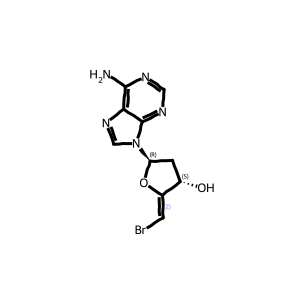 Nc1ncnc2c1ncn2[C@H]1C[C@H](O)/C(=C/Br)O1